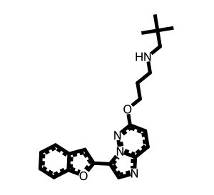 CC(C)(C)CNCCCOc1ccc2ncc(-c3cc4ccccc4o3)n2n1